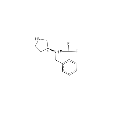 FC(F)(F)c1ccccc1CN[C@H]1CCNC1